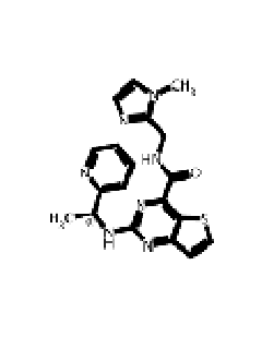 C[C@H](Nc1nc(C(=O)NCc2nccn2C)c2sccc2n1)c1ccccn1